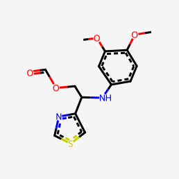 COc1ccc(NC(COC=O)c2cscn2)cc1OC